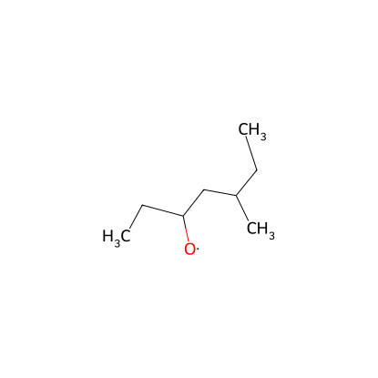 CCC(C)CC([O])CC